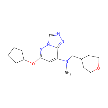 BN(CC1CCOCC1)c1cc(OC2CCCC2)nn2cnnc12